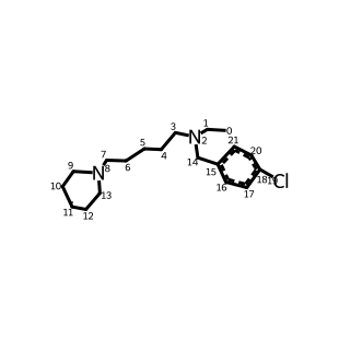 CCN(CCCCCN1CC[CH]CC1)Cc1ccc(Cl)cc1